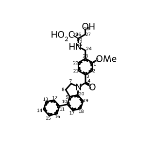 COc1cc(C(=O)N2CCc3c(-c4ccccc4)cccc32)ccc1CN[C@H](CO)C(=O)O